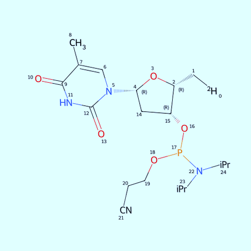 [2H]C[C@H]1O[C@@H](n2cc(C)c(=O)[nH]c2=O)C[C@H]1OP(OCCC#N)N(C(C)C)C(C)C